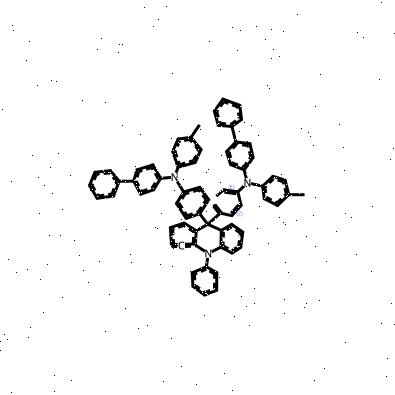 C=C(/C=C\C(=C/C)N(c1ccc(C)cc1)c1ccc(-c2ccccc2)cc1)C1(c2ccc(N(c3ccc(C)cc3)c3ccc(-c4ccccc4)cc3)cc2)c2ccccc2N(c2ccccc2)c2ccccc21